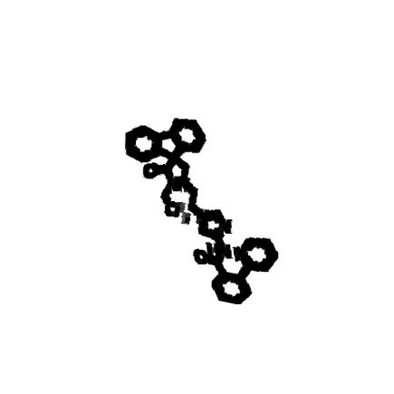 O=C(Nc1cn(CCCCC2(C(=O)NCC(F)(F)F)c3ccccc3-c3ccccc32)cn1)c1ccccc1-c1ccccn1